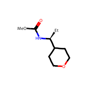 CC[C@H](NC(=O)OC)C1CCOCC1